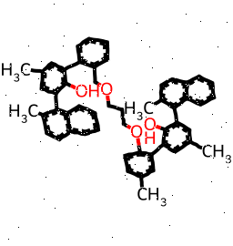 Cc1ccc(OCCCOCc2ccccc2-c2cc(C)cc(-c3c(C)ccc4ccccc34)c2O)c(-c2cc(C)cc(-c3c(C)ccc4ccccc34)c2O)c1